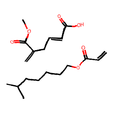 C=C(CC=CC(=O)O)C(=O)OC.C=CC(=O)OCCCCCC(C)C